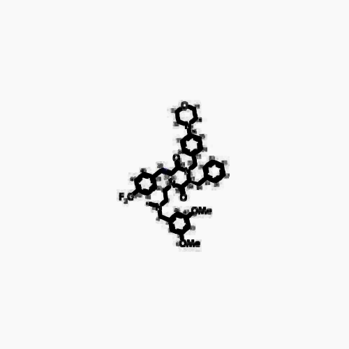 COc1cc(CN(C)CCN(C)C(=O)[C@H](Cc2ccccc2)N(Cc2ccc(N3CCOCC3)cc2)C(=O)/C=C/c2ccc(C(F)(F)F)cc2)cc(OC)c1